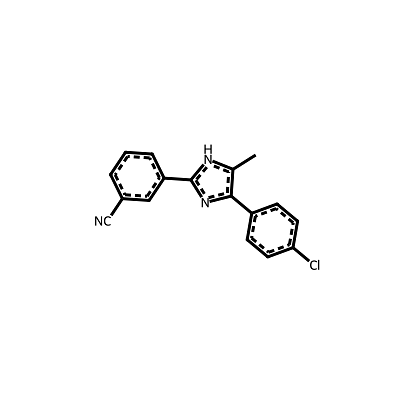 Cc1[nH]c(-c2cccc(C#N)c2)nc1-c1ccc(Cl)cc1